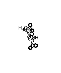 CCCCOC(=O)C(Cc1ccc(-c2ccccc2CC)nc1)NC(=O)OCC1c2ccccc2-c2ccccc21